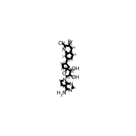 Nc1ncnc2c1ccn2C1OC2(C=CC(c3ccc4cc(Br)c(Cl)nc4c3)C2)C(O)C1O